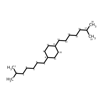 CC(C)CCCCCC1CCC(CCCCCC(C)C)CC1